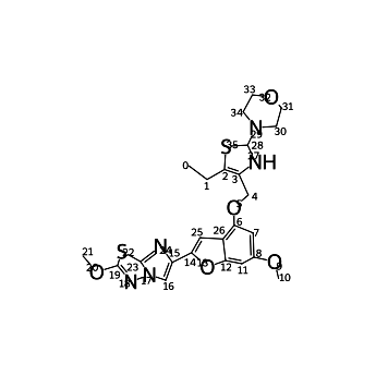 CCC1=C(COc2cc(OC)cc3oc(-c4cn5nc(OC)sc5n4)cc23)NC(N2CCOCC2)S1